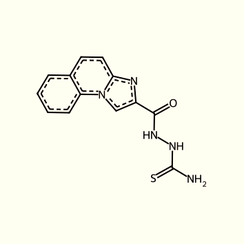 NC(=S)NNC(=O)c1cn2c(ccc3ccccc32)n1